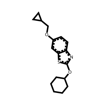 c1cc2nc(OC3CCCCC3)sc2cc1OCC1CC1